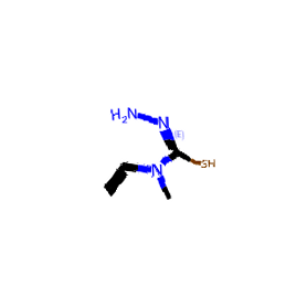 C=CN(C)/C(S)=N\N